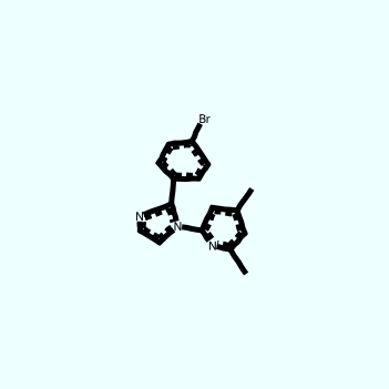 Cc1cc(C)nc(-n2ccnc2-c2ccc(Br)cc2)c1